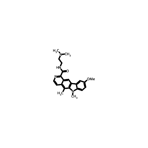 COc1ccc2c(c1)c1cc3c(C(=O)NCCN(C)C)nccc3c(C)c1n2C